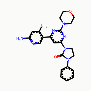 Nc1cc(C(F)(F)F)c(-c2cc(N3CCN(c4ccccc4)C3=O)nc(N3CCOCC3)n2)cn1